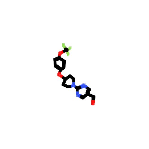 O=Cc1cnc(N2CCC(Oc3ccc(OC(F)(F)F)cc3)CC2)nc1